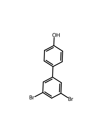 Oc1ccc(-c2cc(Br)cc(Br)c2)cc1